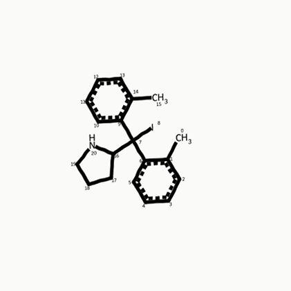 Cc1ccccc1C(I)(c1ccccc1C)C1CCCN1